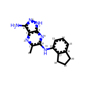 Cc1nc2c(N)n[nH]c2nc1Nc1cccc2c1CCC2